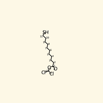 O=C(CCCCCCCCCCS)OC(Cl)Cl